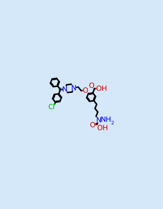 NN(CCCCc1ccc(OCCN2CCN([C@H](c3ccccc3)c3ccc(Cl)cc3)CC2)c(C(=O)O)c1)C(=O)O